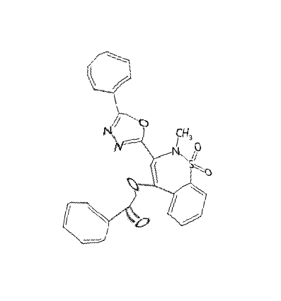 CN1C(c2nnc(-c3ccccc3)o2)=C(OC(=O)c2ccccc2)c2ccccc2S1(=O)=O